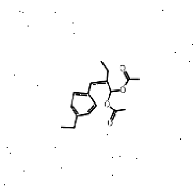 CCC(=Cc1ccc(CC)cc1)C(OC(C)=O)OC(C)=O